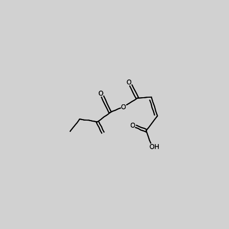 C=C(CC)C(=O)OC(=O)/C=C\C(=O)O